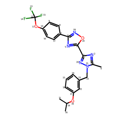 Cc1nc(-c2nc(-c3ccc(OC(F)(F)F)cc3)no2)nn1Cc1cccc(OC(C)C)c1